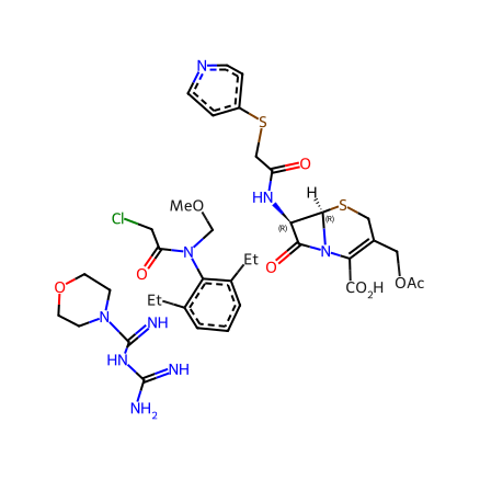 CC(=O)OCC1=C(C(=O)O)N2C(=O)[C@@H](NC(=O)CSc3ccncc3)[C@H]2SC1.CCc1cccc(CC)c1N(COC)C(=O)CCl.N=C(N)NC(=N)N1CCOCC1